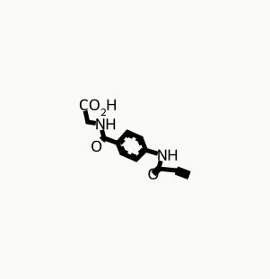 C#CC(=O)Nc1ccc(C(=O)NCC(=O)O)cc1